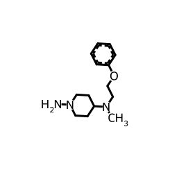 CN(CCOc1ccccc1)C1CCN(N)CC1